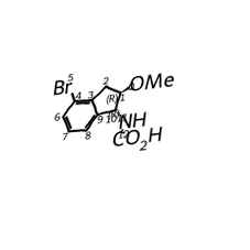 CO[C@@H]1Cc2c(Br)cccc2[C@H]1NC(=O)O